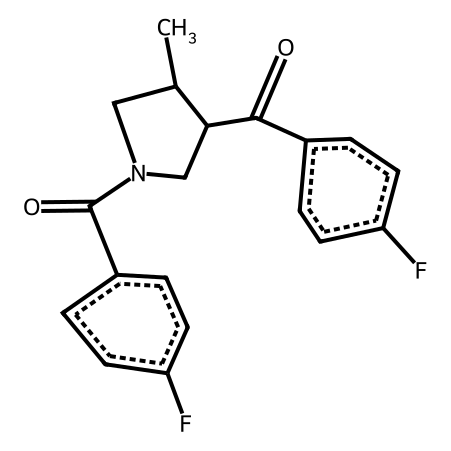 CC1CN(C(=O)c2ccc(F)cc2)CC1C(=O)c1ccc(F)cc1